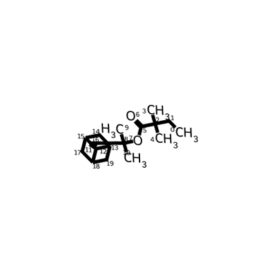 CCC(C)(C)C(=O)OC(C)(C)C1=C2C3CC(C1)CC2C3